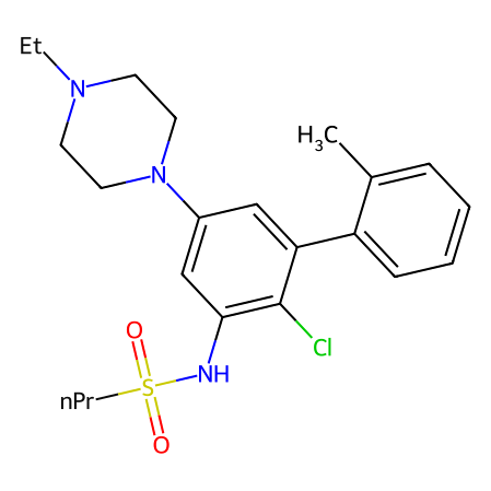 CCCS(=O)(=O)Nc1cc(N2CCN(CC)CC2)cc(-c2ccccc2C)c1Cl